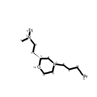 CCN(C)CC[C@@H]1CN(CCCC(C)C)CCO1